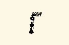 CCCC(=CC(=Cc1ccc(OCc2ccc(OCc3ccccc3)cc2)cc1)C(=O)O)C(=O)O